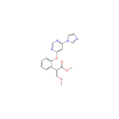 COC=C(C(=O)OC)c1ccccc1Oc1cc(-n2ccnc2)ncn1